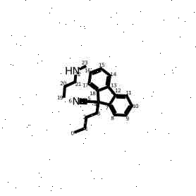 CCCCC1(C#N)c2ccccc2-c2ccccc21.CCCNC